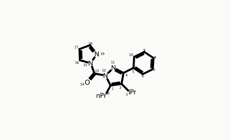 CCCc1c(C(C)C)c(-c2ccccc2)nn1C(=O)n1cccn1